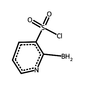 Bc1ncccc1S(=O)(=O)Cl